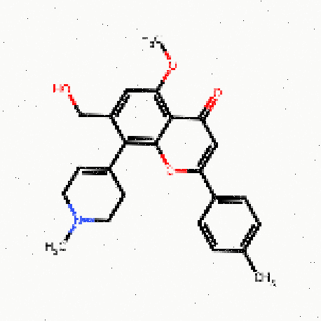 COc1cc(CO)c(C2=CCN(C)CC2)c2oc(-c3ccc(C)cc3)cc(=O)c12